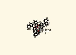 CCCCCCCC1=Cc2c(-c3cccc4ccccc34)ccc(-c3cccc4ccccc34)c2[CH]1[Zr]([CH]1C(CCCCCCC)=Cc2c(-c3cccc4ccccc34)ccc(-c3cccc4ccccc34)c21)[SiH](C)C